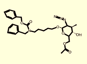 CC(=O)OCC1O[C@H](OCCCCCN(Cc2ccccc2)C(=O)OCc2ccccc2)C(N=[N+]=[N-])[C@@H](C)[C@@H]1O